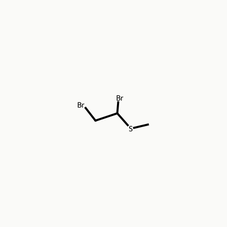 CSC(Br)CBr